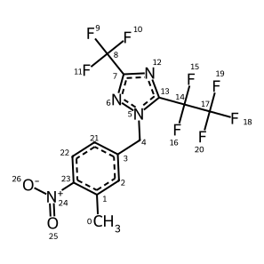 Cc1cc(Cn2nc(C(F)(F)F)nc2C(F)(F)C(F)(F)F)ccc1[N+](=O)[O-]